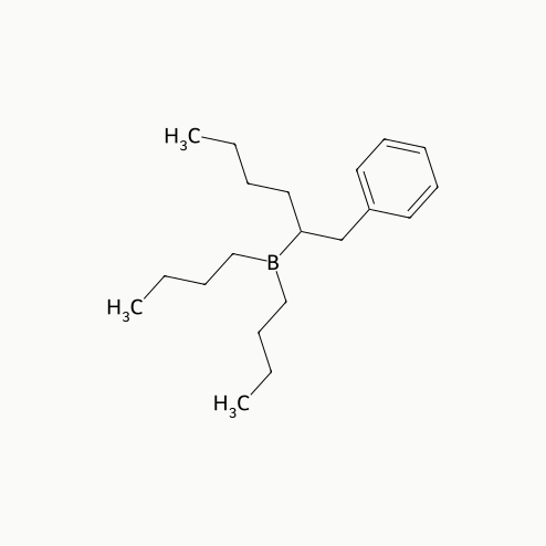 CCCCB(CCCC)C(CCCC)Cc1ccccc1